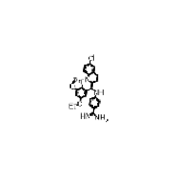 CCOc1cc(OC(C)C)c(F)c(C(Nc2ccc(C(=N)N)cc2)c2ccc3cc(Cl)ccc3n2)c1